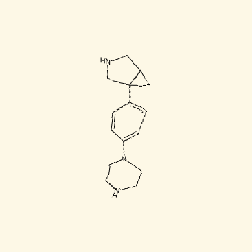 c1cc(C23CNCC2C3)ccc1N1CCNCC1